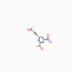 CC(=O)C#Cc1cc([N+](=O)[O-])cc(C(C)=O)n1